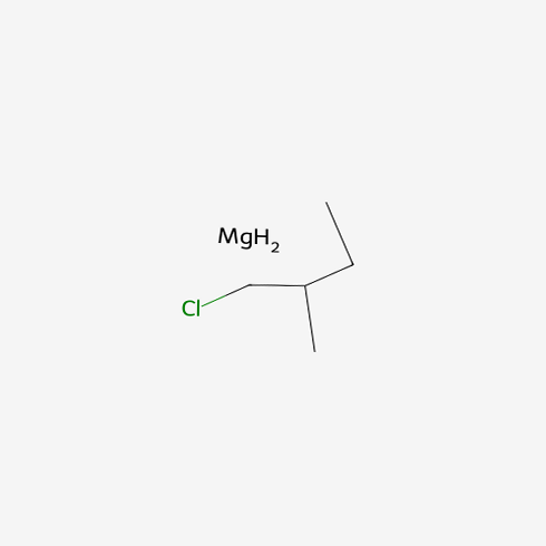 CCC(C)CCl.[MgH2]